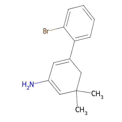 CC1(C)C=C(N)C=C(c2ccccc2Br)C1